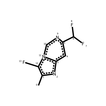 Cc1nc2cc(C(F)F)ncn2c1F